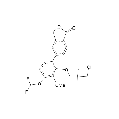 COc1c(OC(F)F)ccc(-c2ccc3c(c2)COC3=O)c1OCC(C)(C)CO